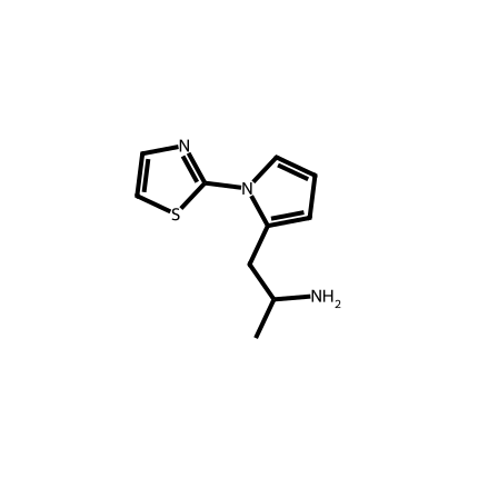 CC(N)Cc1cccn1-c1nccs1